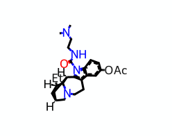 CC[C@H]1C[C@H]2C[C@H]3c4c(c5cc(OC(C)=O)ccc5n4C(=O)NCCN(C)C)CCN(C2)C13